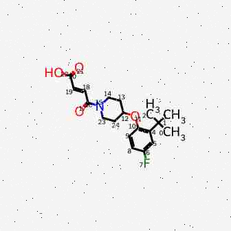 CC(C)(C)c1cc(F)ccc1OC1CCN(C(=O)C=CC(=O)O)CC1